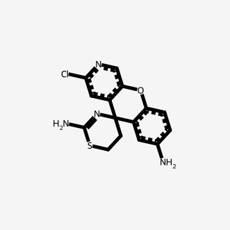 NC1=NC2(CCS1)c1cc(N)ccc1Oc1cnc(Cl)cc12